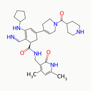 Cc1cc(C)c(CNC(=O)[C@@H]2CC(C3=CCN(C(=O)C4CCNCC4)CC3)=CC(NC3CCCC3)=C2C=N)c(=O)[nH]1